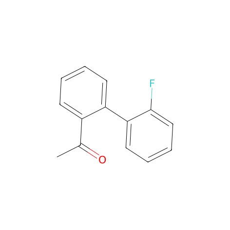 CC(=O)c1ccccc1-c1ccccc1F